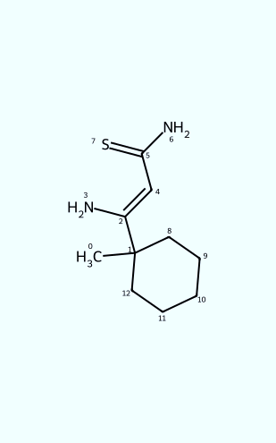 CC1(C(N)=CC(N)=S)CCCCC1